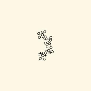 CC1(C)c2cc3c(cc2-c2c1cc(-c1ccccc1-c1ccccc1)c1c2oc2ccccc21)C(C)(C)c1cc(-c2cccc(-c4ccc(-c5cc6c(c7c5oc5ccccc57)-c5ccc7c(c5C6(C)C)C(C)(C)c5cc(-c6ccccc6-c6ccccc6)c6oc8ccccc8c6c5-7)c(-c5ccccc5)c4)c2-c2ccccc2)c2c(oc4ccccc42)c1-3